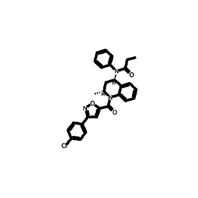 CCC(=O)N(c1ccccc1)[C@H]1C[C@@H](C)N(C(=O)c2cc(-c3ccc(Cl)cc3)no2)c2ccccc21